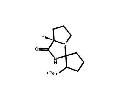 CCCCCC1CCCC12NC(=O)[C@@H]1CCCN12